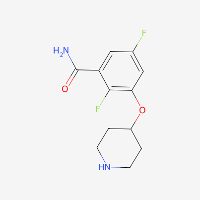 NC(=O)c1cc(F)cc(OC2CCNCC2)c1F